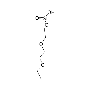 CCOCCOCCO[Si](=O)O